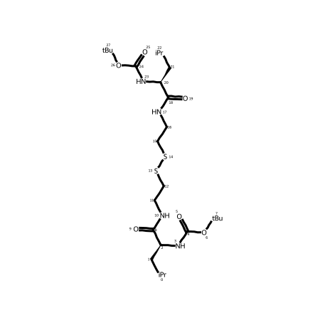 CC(C)C[C@H](NC(=O)OC(C)(C)C)C(=O)NCCSSCCNC(=O)[C@H](CC(C)C)NC(=O)OC(C)(C)C